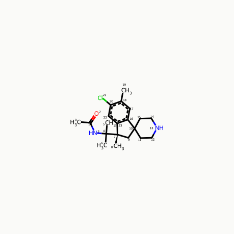 CC(=O)NC(C)(C)[C@@]1(C)CC2(CCNCC2)c2cc(C)c(Cl)cc21